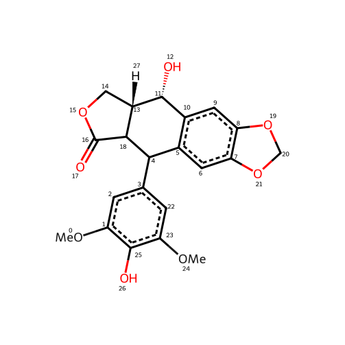 COc1cc(C2c3cc4c(cc3[C@@H](O)[C@H]3COC(=O)C23)OCO4)cc(OC)c1O